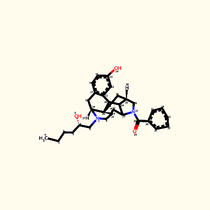 CCCC[C@H](O)CN1CC[C@@]23c4cc(O)ccc4C[C@@H]1[C@]21CCC2C3[C@@H](CN2C(=O)c2ccccc2)C1